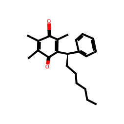 CCCCCC[C@@H](C1=C(C)C(=O)C(C)=C(C)C1=O)c1ccccc1